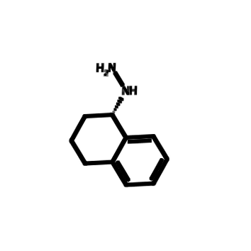 NN[C@H]1CCCc2ccccc21